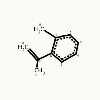 [CH2]c1ccccc1C(=C)C